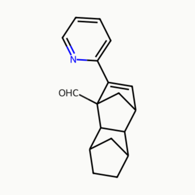 O=CC12CC(C=C1c1ccccn1)C1C3CCC(C3)C12